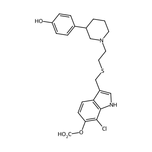 O=C(O)Oc1ccc2c(CSCCN3CCCC(c4ccc(O)cc4)C3)c[nH]c2c1Cl